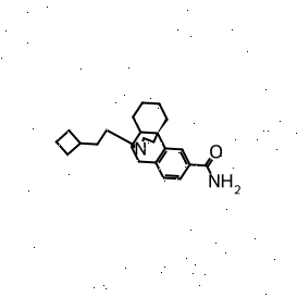 NC(=O)c1ccc2c(c1)[C@@]13CCCCC1C(C2)N(CCC1CCC1)CC3